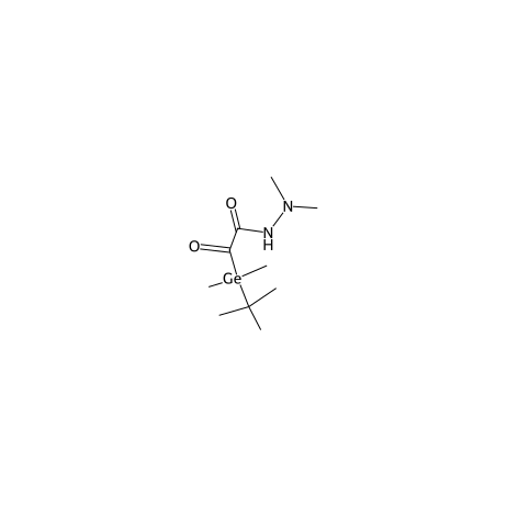 CN(C)NC(=O)[C](=O)[Ge]([CH3])([CH3])[C](C)(C)C